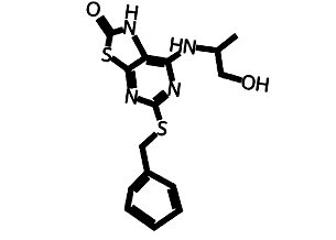 CC(CO)Nc1nc(SCc2ccccc2)nc2sc(=O)[nH]c12